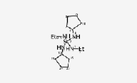 CCN[Si](NCC)(NC1CCCC1)NC1CCCC1